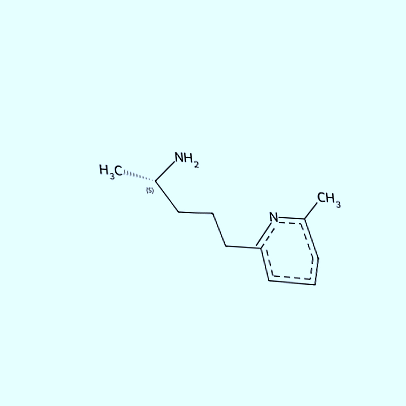 Cc1cccc(CCC[C@H](C)N)n1